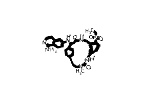 CCS(=O)(=O)c1ccc2cc1CNC(=O)C(Nc1ccc3c(N)nccc3c1)c1ccc(cc1)CCN(C)C(=O)N2